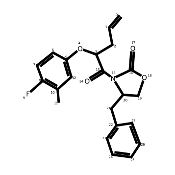 C=CCC(Oc1ccc(F)c(C)c1)C(=O)N1C(=O)OCC1Cc1ccccc1